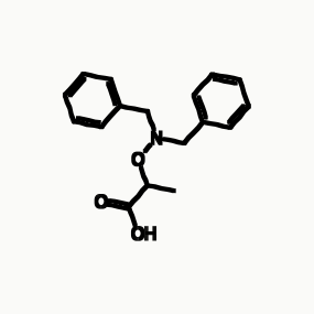 CC(ON(Cc1ccccc1)Cc1ccccc1)C(=O)O